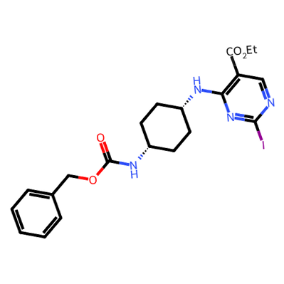 CCOC(=O)c1cnc(I)nc1N[C@H]1CC[C@@H](NC(=O)OCc2ccccc2)CC1